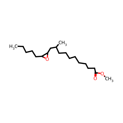 CCCCCC1OC1CC(C)CCCCCCCCC(=O)OC